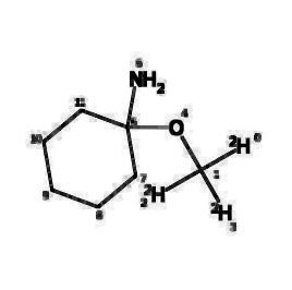 [2H]C([2H])([2H])OC1(N)CCCCC1